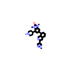 Cn1cc(-c2cc3cccc(-c4cc(C5CCNCC5)c5c(c4)n(C)c(=O)n5C)c3cn2)cn1